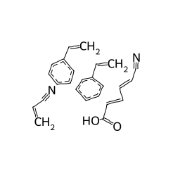 C=CC#N.C=Cc1ccccc1.C=Cc1ccccc1.N#CC=CC=CC(=O)O